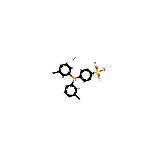 Cc1cccc(P(c2ccc(S(=O)(=O)[O-])cc2)c2cccc(C)c2)c1.[Li+]